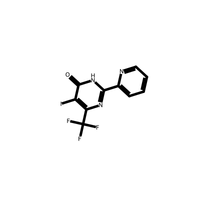 O=c1[nH]c(-c2ccccn2)nc(C(F)(F)F)c1I